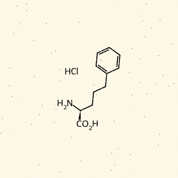 Cl.N[C@@H](CCCc1ccccc1)C(=O)O